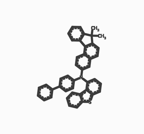 CC1(C)c2ccccc2-c2c1ccc1cc(N(c3ccc(-c4ccccc4)cc3)c3cccc4sc5ccccc5c34)ccc21